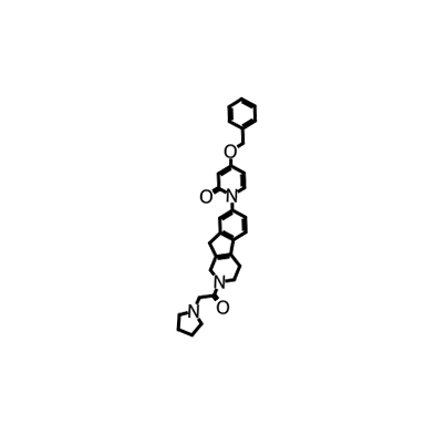 O=C(CN1CCCC1)N1CCC2=C(Cc3cc(-n4ccc(OCc5ccccc5)cc4=O)ccc32)C1